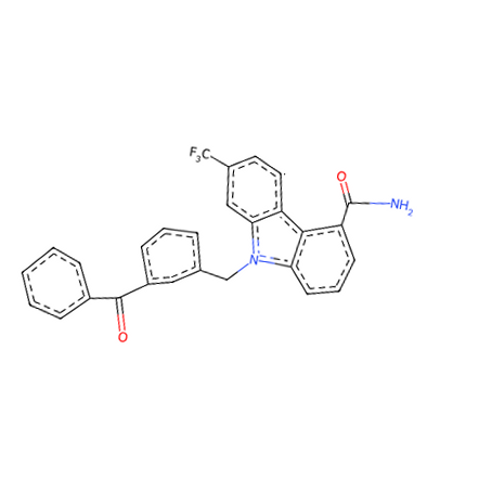 NC(=O)c1cccc2c1c1[c]cc(C(F)(F)F)cc1n2Cc1cccc(C(=O)c2ccccc2)c1